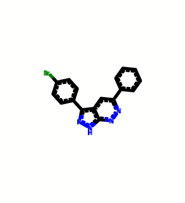 Brc1ccc(-c2n[nH]c3nnc(-c4ccccc4)cc23)cc1